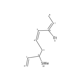 C=CC(C/C=C\C(=C/C)CC)SC